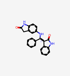 O=C1Cc2cc(N/C(=C3\C(=O)Nc4ccccc43)c3ccccc3)ccc2N1